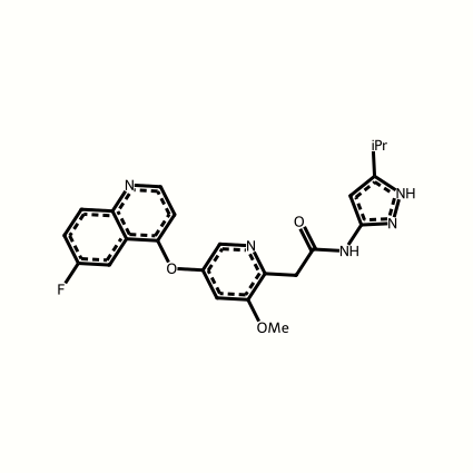 COc1cc(Oc2ccnc3ccc(F)cc23)cnc1CC(=O)Nc1cc(C(C)C)[nH]n1